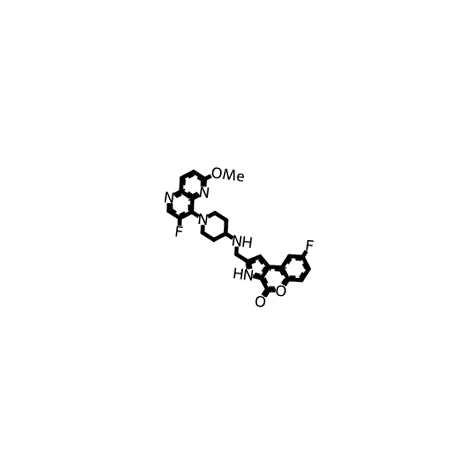 COc1ccc2ncc(F)c(N3CCC(NCc4cc5c([nH]4)c(=O)oc4ccc(F)cc45)CC3)c2n1